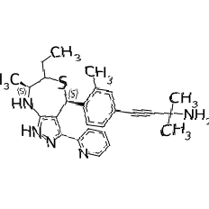 CCC1S[C@@H](c2ccc(C#CC(C)(C)N)cc2C)c2c(-c3ccccn3)n[nH]c2N[C@H]1C